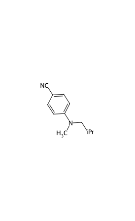 CC(C)CN(C)c1ccc(C#N)cc1